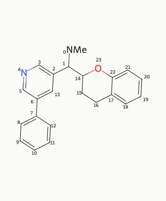 CNC(c1cncc(-c2ccccc2)c1)C1CCc2ccccc2O1